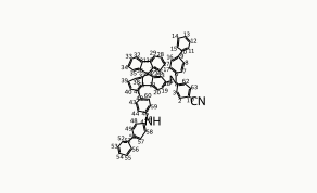 N#Cc1ccc(N(c2ccc(-c3ccccc3)cc2)c2ccc3c(c2)C2(c4ccccc4-c4ccccc42)c2cccc(-c4ccc(Nc5ccc(-c6ccccc6)cc5)cc4)c2-3)cc1